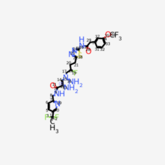 CC(F)(F)c1ccc(CNC(=O)/C(N)=C/N(N)CC(F)CCc2nnc(NC(=O)Cc3cccc(OC(F)(F)F)c3)s2)nc1